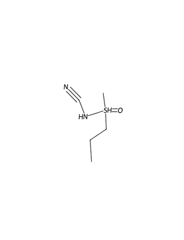 CCC[SH](C)(=O)NC#N